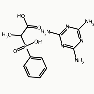 CC(C(=O)O)P(=O)(O)c1ccccc1.Nc1nc(N)nc(N)n1